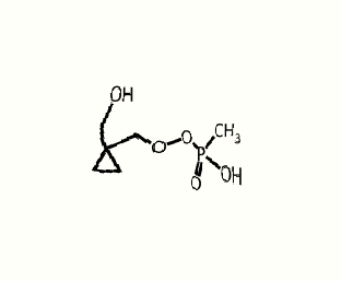 CP(=O)(O)OOCC1(CO)CC1